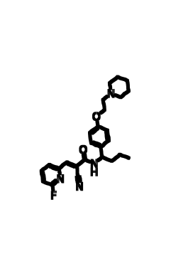 CCCC(NC(=O)/C(C#N)=C/c1cccc(F)n1)c1ccc(OCCN2CCCCC2)cc1